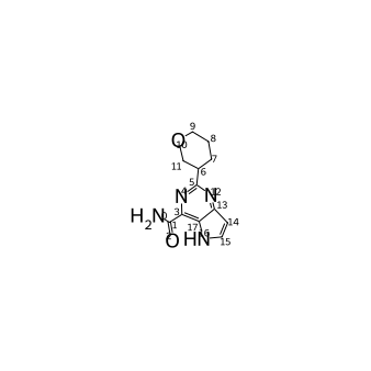 NC(=O)c1nc(C2CCCOC2)nc2cc[nH]c12